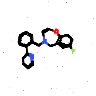 Fc1ccc2c(c1)CN(Cc1ccccc1-c1ccccn1)CCO2